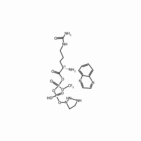 NC(=O)NCCC[C@H](N)C(=O)OP(=O)(OC(F)(F)F)OP(=O)(O)ON1CCNN1.c1ccc2nccnc2c1